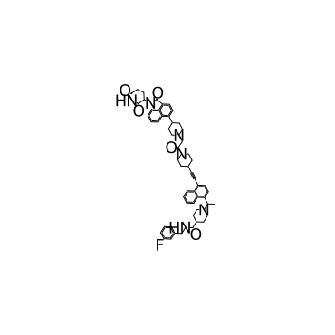 CC(c1ccc(C#CC2CCN(C(=O)CN3CCC(c4ccc5c6c(cccc46)N(C4CCC(=O)NC4=O)C5=O)CC3)CC2)c2ccccc12)N1CCC(C(=O)NCc2cccc(F)c2)CC1